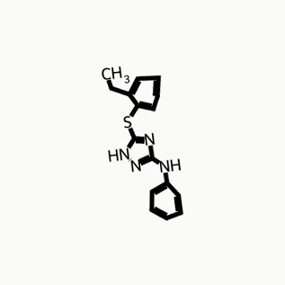 CCc1ccccc1Sc1nc(Nc2ccccc2)n[nH]1